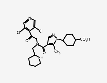 O=C(CN(CC1CCCCN1)C(=O)c1cnn(C2CCC(C(=O)O)CC2)c1C(F)(F)F)c1c(Cl)cncc1Cl